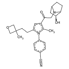 Cc1c(C(=O)CN2C3CCC2[C@@H](O)C3)cc(CCC2(C)COC2)n1-c1ccc(C#N)cc1